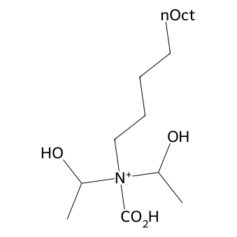 CCCCCCCCCCCC[N+](C(=O)O)(C(C)O)C(C)O